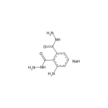 NNC(=O)c1cccc(N)c1C(=O)NN.[NaH]